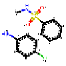 CNS(=O)(=O)c1ccccc1.Nc1ccc(Cl)cc1